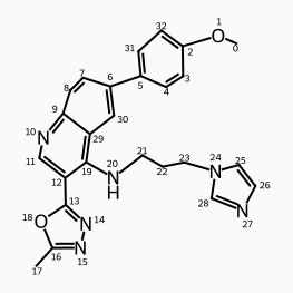 COc1ccc(-c2ccc3ncc(-c4nnc(C)o4)c(NCCCn4ccnc4)c3c2)cc1